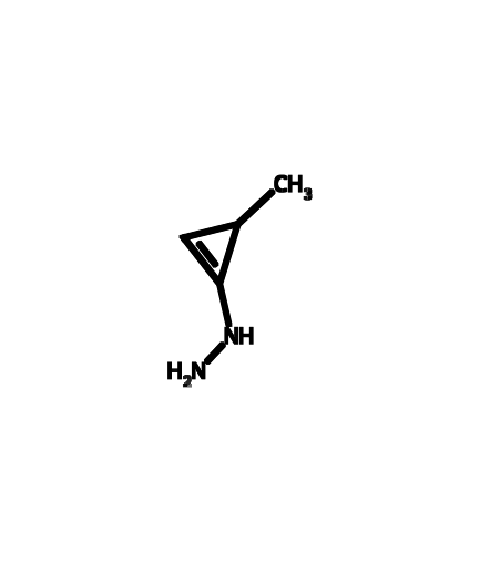 CC1C=C1NN